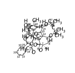 CC(=O)O[C@]12CO[C@@H]1C[C@@H]1O[Si](C)(C)C[Si](C)(C)O[C@H]3C(=O)[C@@]1(C)C2[C@@H](OC(=O)c1ccccc1)[C@]1(O)C[C@@H](O)C(C)=C3C1(C)C